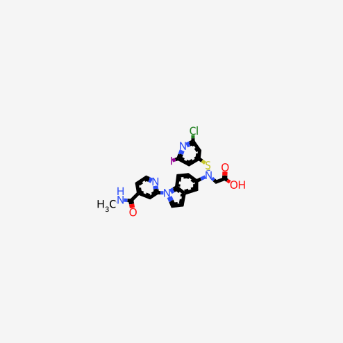 CNC(=O)c1ccnc(-n2ccc3cc(N(CC(=O)O)Sc4cc(Cl)nc(I)c4)ccc32)c1